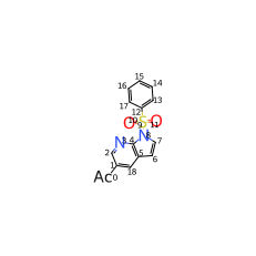 CC(=O)c1cnc2c(ccn2S(=O)(=O)c2ccccc2)c1